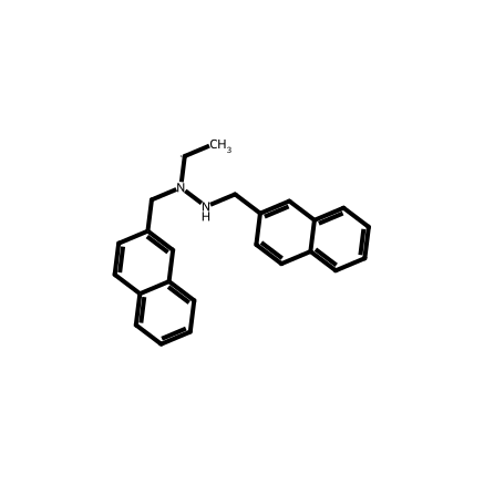 C[CH]N(Cc1ccc2ccccc2c1)NCc1ccc2ccccc2c1